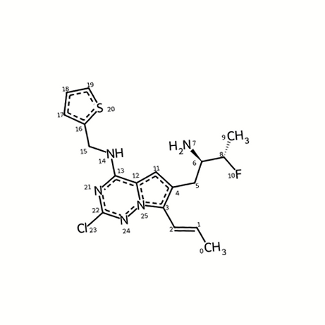 C/C=C/c1c(C[C@@H](N)[C@H](C)F)cc2c(NCc3cccs3)nc(Cl)nn12